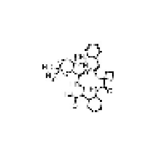 CC1(C)OCC(C)(C)C(C(=O)NCC(C(=O)O)C2CCCCC2NC(=O)C2(CC=Cc3ccccc3)CCC2)O1